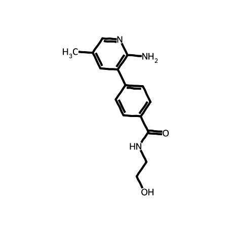 Cc1cnc(N)c(-c2ccc(C(=O)NCCO)cc2)c1